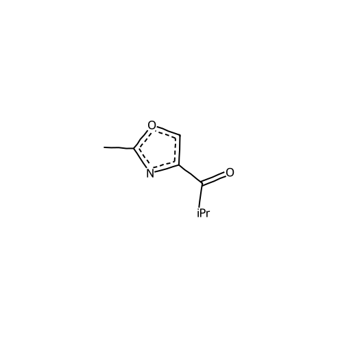 Cc1nc(C(=O)C(C)C)co1